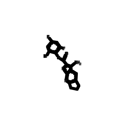 Nc1c(C(=O)Oc2c(F)cc(F)cc2Br)sc2nc3c(cc12)CCC3